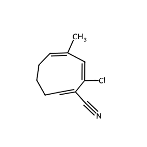 CC1=C/CCC/C=C(C#N)/C(Cl)=C\1